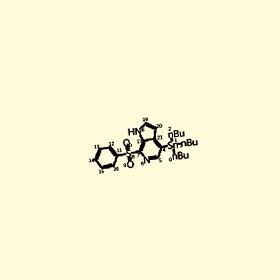 CCC[CH2][Sn]([CH2]CCC)([CH2]CCC)[c]1cnc(S(=O)(=O)c2ccccc2)c2[nH]ccc12